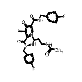 CC(=O)NCCC1NN(Cc2ccc(F)cc2)C(=O)c2c(I)c(=O)c(C(=O)NCc3ccc(F)cc3)cn21